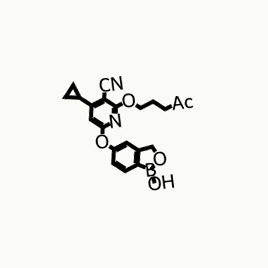 CC(=O)CCCOc1nc(Oc2ccc3c(c2)COB3O)cc(C2CC2)c1C#N